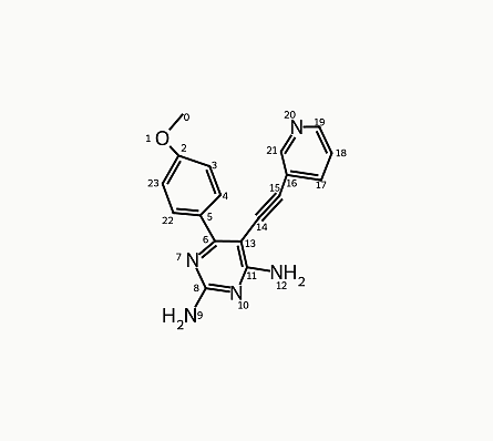 COc1ccc(-c2nc(N)nc(N)c2C#Cc2cccnc2)cc1